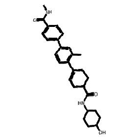 CNC(=O)c1ccc(-c2ccc(C3=CCC(C(=O)NC4CCC(O)CC4)CC3)c(C)c2)cc1